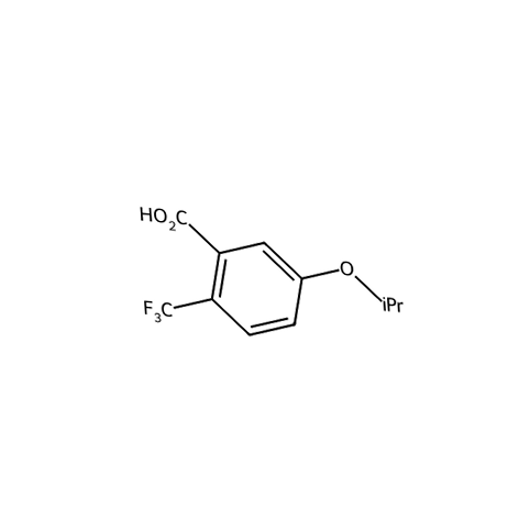 CC(C)Oc1ccc(C(F)(F)F)c(C(=O)O)c1